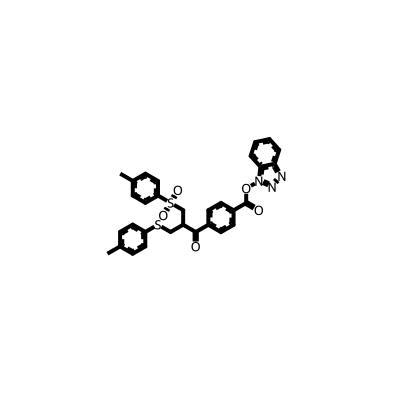 Cc1ccc(SCC(CS(=O)(=O)c2ccc(C)cc2)C(=O)c2ccc(C(=O)On3nnc4ccccc43)cc2)cc1